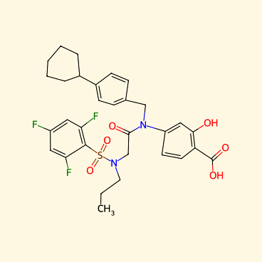 CCCN(CC(=O)N(Cc1ccc(C2CCCCC2)cc1)c1ccc(C(=O)O)c(O)c1)S(=O)(=O)c1c(F)cc(F)cc1F